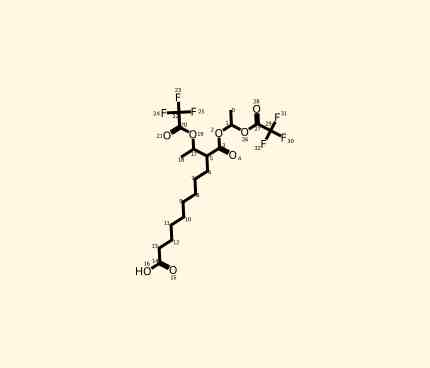 CC(OC(=O)C(CCCCCCCCC(=O)O)C(C)OC(=O)C(F)(F)F)OC(=O)C(F)(F)F